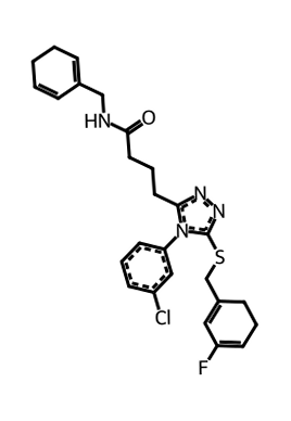 O=C(CCCc1nnc(SCC2=CC(F)=CCC2)n1-c1cccc(Cl)c1)NCC1=CCCC=C1